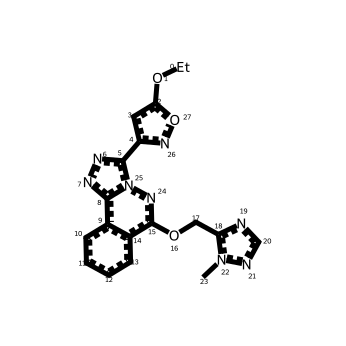 CCOc1cc(-c2nnc3c4ccccc4c(OCc4ncnn4C)nn23)no1